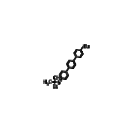 CCC(C)c1ccc(-c2ccc(-c3ccc(SC(C)(C)CC)cc3)cc2)cc1